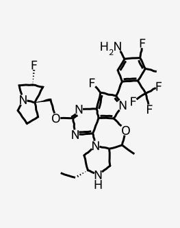 CC[C@@H]1CN2c3nc(OC[C@@]45CCCN4C[C@H](F)C5)nc4c(F)c(-c5cc(N)c(F)c(C)c5C(F)(F)F)nc(c34)OC(C)C2CN1